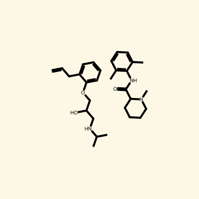 C=CCc1ccccc1OCC(O)CNC(C)C.Cc1cccc(C)c1NC(=O)C1CCCCN1C